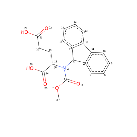 COC(=O)N(C1c2ccccc2-c2ccccc21)[C@@H](CCC(=O)O)C(=O)O